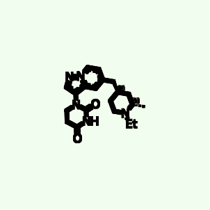 CCN1CC[C@@H](Cc2ccn3ncc(N4CCC(=O)NC4=O)c3c2)C[C@@H]1C